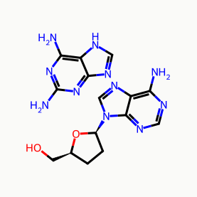 Nc1nc(N)c2[nH]cnc2n1.Nc1ncnc2c1ncn2[C@H]1CC[C@@H](CO)O1